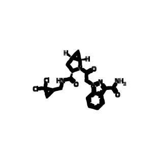 NC(=O)c1nn(CC(=O)N2[C@@H]3C[C@@H]3C[C@H]2C(=O)NCC2CC2(Cl)Cl)c2ccccc12